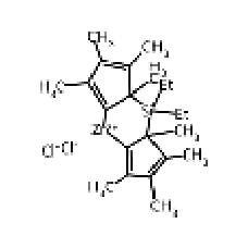 CC[Si]1(CC)C2(C)C(C)=C(C)C(C)=[C]2[Zr+2][C]2=C(C)C(C)=C(C)C21C.[Cl-].[Cl-]